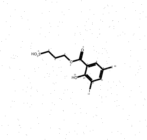 O=C(OCCCS(=O)(=O)O)c1cc(I)cc(I)c1O